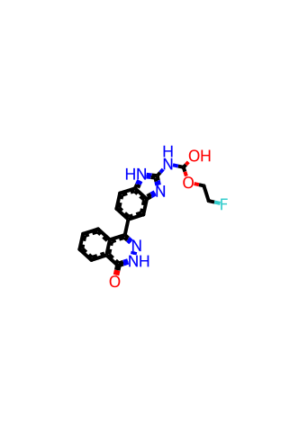 O=c1[nH]nc(-c2ccc3[nH]c(NC(O)OCCF)nc3c2)c2ccccc12